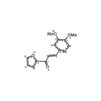 COc1cnc(C=CC(=O)c2ccco2)cc1OC